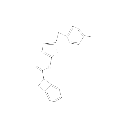 O=C(Nc1ncc(Cc2ccc(Cl)cc2)o1)C1Cc2ccccc21